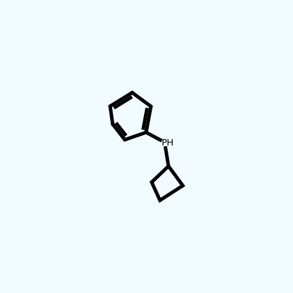 c1ccc(PC2CCC2)cc1